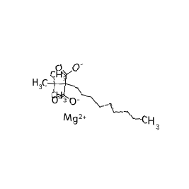 CCCCCCCCCC(C(=O)[O-])(C(=O)[O-])C(C)(C)C.[Mg+2]